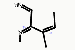 C/C=C(C)\C(C=N)=N/C